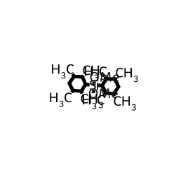 CO[Si](OC)(C1C(C)C(C)CC(C)C1C)C1C(C)C(C)CC(C)C1C